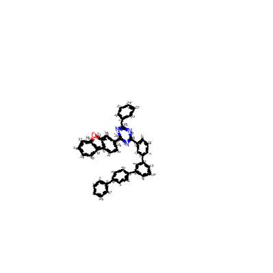 c1ccc(-c2ccc(-c3cccc(-c4cccc(-c5nc(-c6ccccc6)nc(-c6ccc7c(c6)oc6ccccc67)n5)c4)c3)cc2)cc1